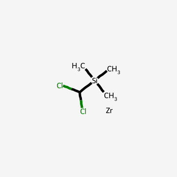 C[Si](C)(C)C(Cl)Cl.[Zr]